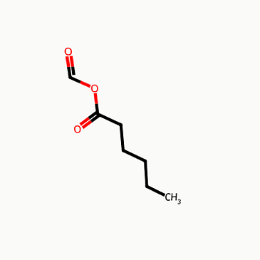 CCCCCC(=O)OC=O